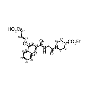 CCOC(=O)N1CCN(C(=O)CNC(=O)c2cc(OC=CCC(=O)O)c3ccccc3n2)CC1